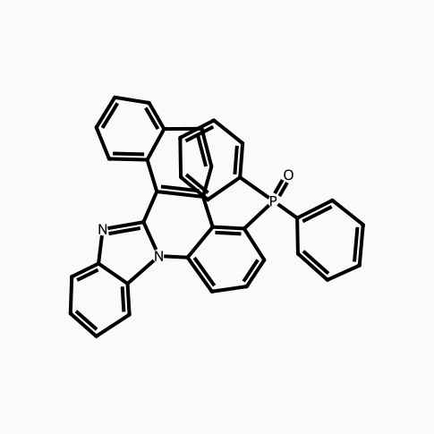 O=P(c1ccccc1)(c1ccccc1)c1cccc2c1c1ccc3ccccc3c1c1nc3ccccc3n21